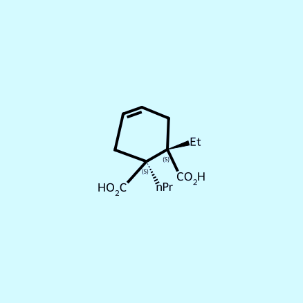 CCC[C@]1(C(=O)O)CC=CC[C@]1(CC)C(=O)O